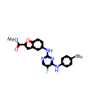 COC(=O)c1cc2cc(Nc3ncc(F)c(Nc4ccc(C(C)(C)C)cc4)n3)ccc2o1